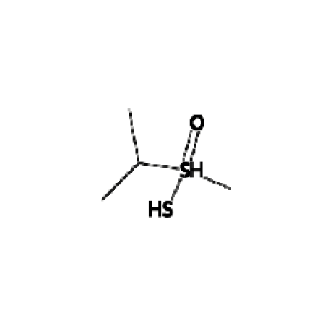 CC(C)[SH](C)(=O)S